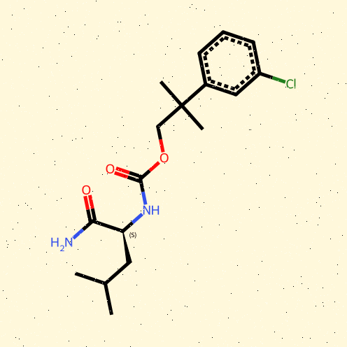 CC(C)C[C@H](NC(=O)OCC(C)(C)c1cccc(Cl)c1)C(N)=O